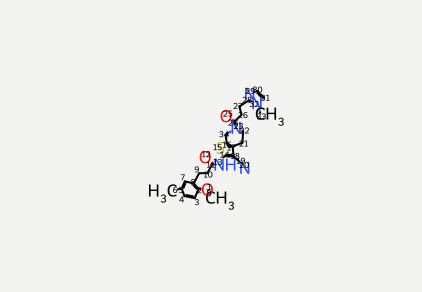 COc1ccc(C)cc1CCC(=O)Nc1sc2c(c1C#N)CCN(C(=O)CCc1nccn1C)C2